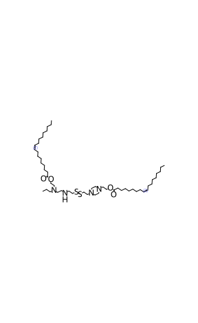 CCCCCCCC/C=C\CCCCCCCC(=O)OCCN(CCC)CCNCCSSCCN1CCN(CCOC(=O)CCCCCCC/C=C\CCCCCCCC)CC1